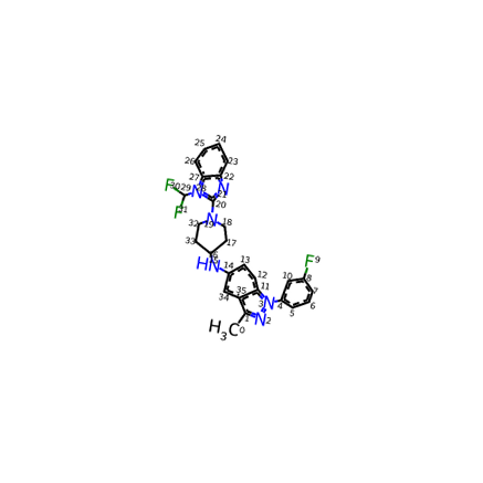 Cc1nn(-c2cccc(F)c2)c2ccc(NC3CCN(c4nc5ccccc5n4C(F)F)CC3)cc12